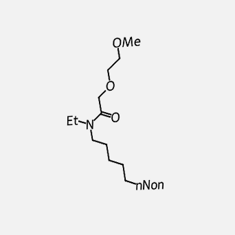 CCCCCCCCCCCCCCN(CC)C(=O)COCCOC